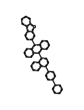 c1ccc(-c2ccc(-c3ccc(-c4c5ccccc5c(-c5ccc6c(c5)oc5ccccc56)c5ccccc45)c4ccccc34)cc2)cc1